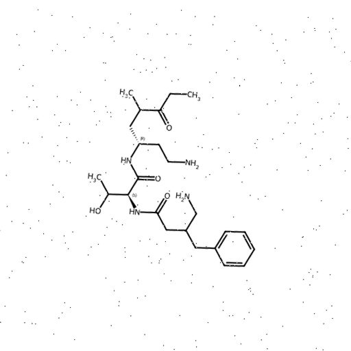 CCC(=O)C(C)C[C@H](CCN)NC(=O)[C@@H](NC(=O)CC(CN)Cc1ccccc1)C(C)O